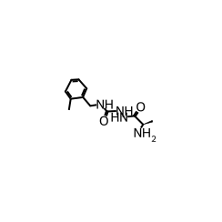 Cc1ccccc1CNC(=O)NNC(=O)[C@@H](C)N